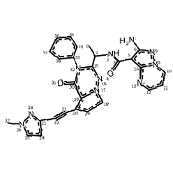 CC(NC(=O)c1c(N)nn2cccnc12)c1nn2ccc(C#Cc3ccn(C)n3)c2c(=O)n1-c1ccccc1